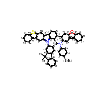 CC(C)(C)c1ccc(N2B3c4cc5c(cc4-n4c6cc7c(cc6c6ccc(c3c64)-c3cc4oc6ccccc6c4cc32)sc2ccccc27)C(C)(C)c2ccccc2-5)cc1